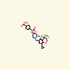 CC1(C)CCOc2c(C3CC3)cc(CN3CCC4(CC3)CN(c3ccc(C(=O)O)cc3)C(=O)O4)cc21